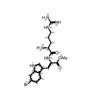 COC(=O)/C(=C/c1c[nH]c2cc(Br)ccc12)NC(=O)[C@@H](N)CCCNC(=N)N